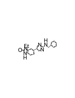 CCn1c(=O)[nH]c2ccc(-c3cnc(NCc4ccccc4)nc3)cc21